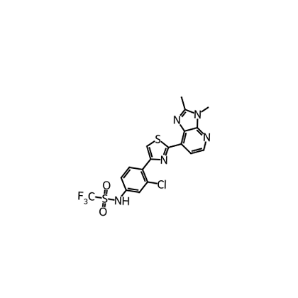 Cc1nc2c(-c3nc(-c4ccc(NS(=O)(=O)C(F)(F)F)cc4Cl)cs3)ccnc2n1C